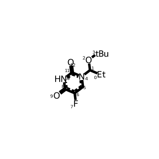 CCC(OC(C)(C)C)n1cc(F)c(=O)[nH]c1=O